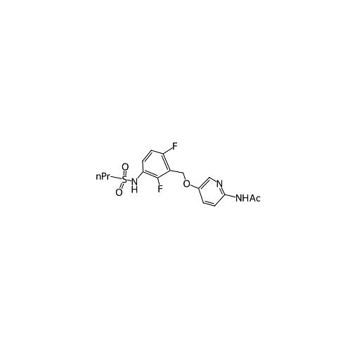 CCCS(=O)(=O)Nc1ccc(F)c(COc2ccc(NC(C)=O)nc2)c1F